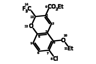 CCOC(=O)C1=Cc2c(ccc(Cl)c2OCC)OC1C(F)(F)F